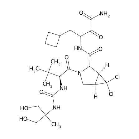 CC(CO)(CO)NC(=O)N[C@H](C(=O)N1C[C@H]2[C@@H]([C@H]1C(=O)NC(CC1CCC1)C(=O)C(N)=O)C2(Cl)Cl)C(C)(C)C